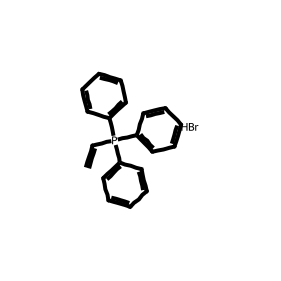 Br.C=C[P](c1ccccc1)(c1ccccc1)c1ccccc1